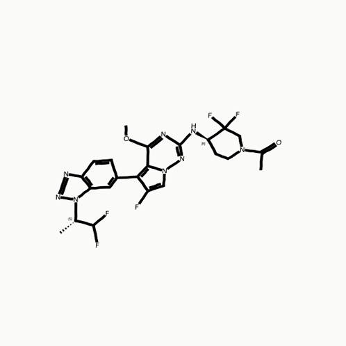 COc1nc(N[C@@H]2CCN(C(C)=O)CC2(F)F)nn2cc(F)c(-c3ccc4nnn([C@@H](C)C(F)F)c4c3)c12